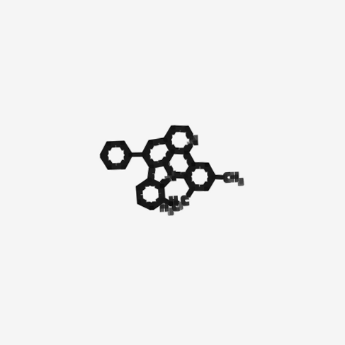 Cc1cc(C)c2c(c1)c1nccc3cc(-c4ccccc4)c4c5cccc(C)c5n2c4c31